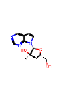 C[C@@]1(O)C[C@@H](CO)O[C@H]1n1ccc2cncnc21